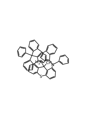 CC1(C)c2ccccc2Sc2cccc(N(c3ccccc3)c3ccc(-c4ccccc4C4(c5ccccc5)c5ccccc5-c5ccccc54)c4ccccc34)c21